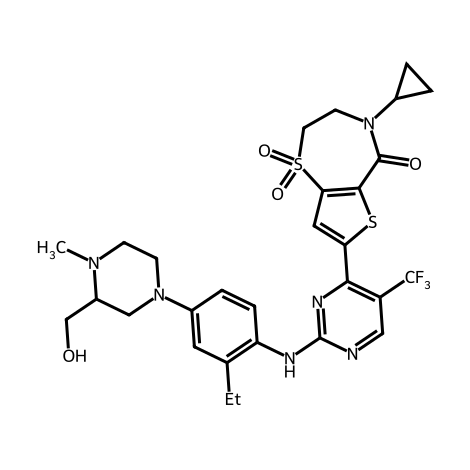 CCc1cc(N2CCN(C)C(CO)C2)ccc1Nc1ncc(C(F)(F)F)c(-c2cc3c(s2)C(=O)N(C2CC2)CCS3(=O)=O)n1